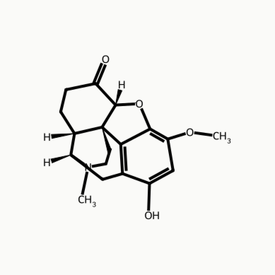 COc1cc(O)c2c3c1O[C@H]1C(=O)CC[C@H]4[C@@H](C2)N(C)CC[C@]314